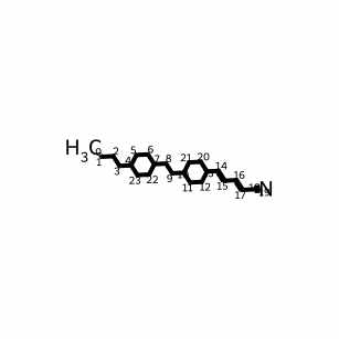 CCCCC1CCC(CCC2CCC(C=CC=CC#N)CC2)CC1